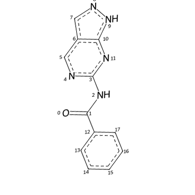 O=C(Nc1ncc2cn[nH]c2n1)c1ccccc1